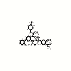 C=C(c1ccc(-c2ccccc2OC)nc1N1CCCC(Nc2ccc(C(=O)C(F)(F)F)c(N)n2)C1)N(C)CC1CCN(C(C)C)CC1